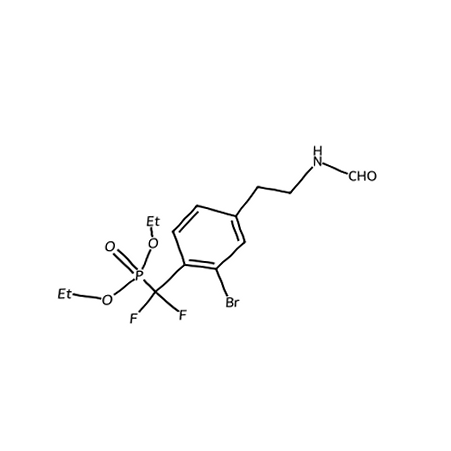 CCOP(=O)(OCC)C(F)(F)c1ccc(CCNC=O)cc1Br